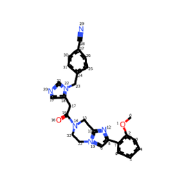 COc1ccccc1-c1cn2c(n1)CN(C(=O)Cc1cncn1Cc1ccc(C#N)cc1)CC2